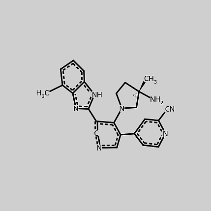 Cc1cccc2[nH]c(-c3cncc(-c4ccnc(C#N)c4)c3N3CC[C@](C)(N)C3)nc12